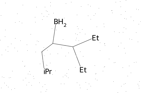 BC(CC(C)C)C(CC)CC